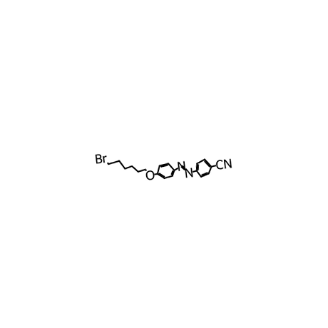 N#Cc1ccc(N=Nc2ccc(OCCCCCCBr)cc2)cc1